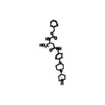 O=C(C[C@H](NC(=O)OCc1ccccc1)C(=O)O)Nc1ccc(N2CCN(C3CCNCC3)CC2)cc1